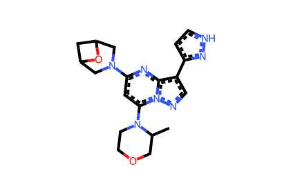 CC1COCCN1c1cc(N2CC3CC(C2)O3)nc2c(-c3cc[nH]n3)cnn12